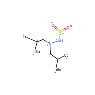 CCCCC(CC)CN(CC(CC)CCCC)N[SH](=O)=O